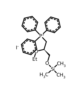 CCO[C@H](CO[Si](C)(C)C)C[P+](c1ccccc1)(c1ccccc1)c1ccccc1.[I-]